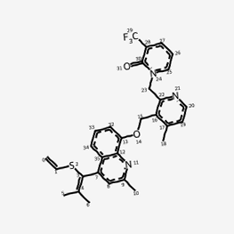 C=CSC(=C(C)C)c1cc(C)nc2c(OCc3c(C)ccnc3Cn3cccc(C(F)(F)F)c3=O)cccc12